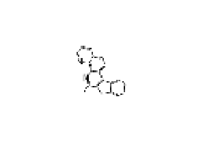 Cc1nc2c(ccc3cccnc32)c2c1Cc1ccccc1-2